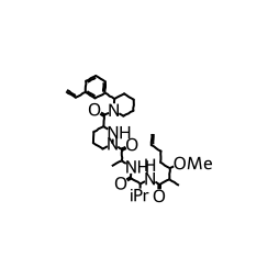 C=CCCC(OC)C(C)C(=O)NC(C(=O)NC(C)C(=O)N1CCCC(C(=O)N2CCCCC2c2cccc(C=C)c2)N1)C(C)C